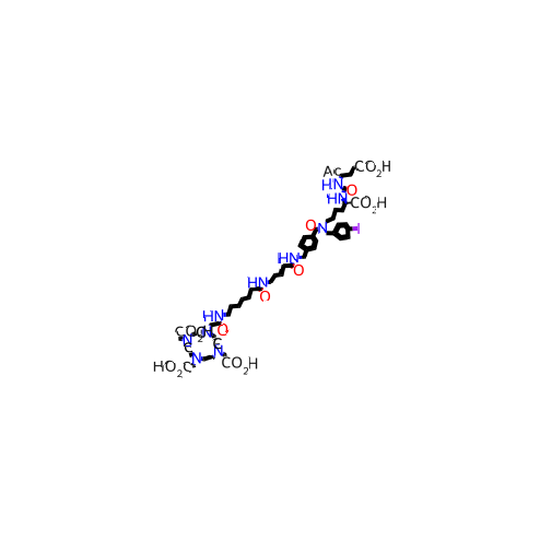 CC(=O)[C@@H](CCC(=O)O)NC(=O)N[C@H](CCCCN(Cc1ccc(I)cc1)C(=O)c1ccc(CNC(=O)CCCCNC(=O)CCCCCCNC(=O)CN2CCN(CC(=O)O)CCN(CC(=O)O)CCN(CC(=O)O)CC2)cc1)C(=O)O